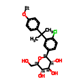 CCOc1ccc(C(C)(C)c2cc([C@@H]3O[C@H](CO)[C@@H](O)[C@H](O)[C@H]3O)ccc2Cl)cc1